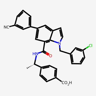 C[C@H](NC(=O)c1cc(-c2cccc(C#N)c2)cc2ccn(Cc3cccc(Cl)c3)c12)c1ccc(C(=O)O)cc1